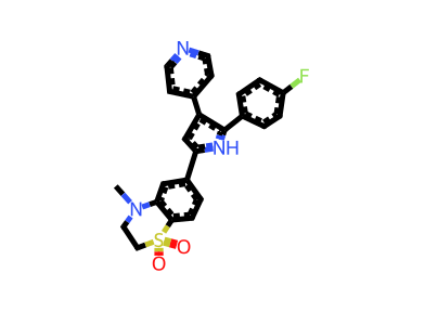 CN1CCS(=O)(=O)c2ccc(-c3cc(-c4ccncc4)c(-c4ccc(F)cc4)[nH]3)cc21